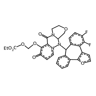 CCOC(=O)OCOc1c2n(ccc1=O)N(C1c3ccccc3-c3occc3-c3c1ccc(F)c3F)C1COCCN1C2=O